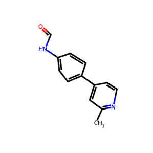 Cc1cc(-c2ccc(NC=O)cc2)ccn1